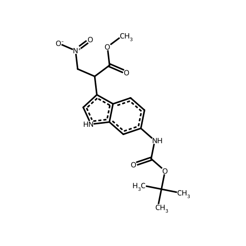 COC(=O)C(C[N+](=O)[O-])c1c[nH]c2cc(NC(=O)OC(C)(C)C)ccc12